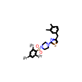 Cc1ccc(Cc2csc(N3CCN(S(=O)(=O)c4c(C(C)C)cc(C(C)C)cc4C(C)C)CC3)n2)cc1C